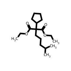 CCOC(=O)C(CCCC(C)C)(C(=O)OCC)C1CCCC1